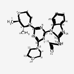 C[C@@H]1[C@@H](C)OCCN1c1nc(N2CCOCC2)nc(-n2c(NC=O)nc3ccccc32)n1